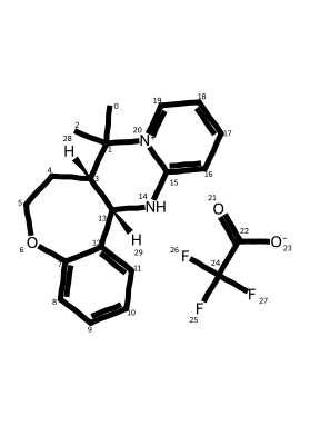 CC1(C)[C@H]2CCOc3ccccc3[C@H]2Nc2cccc[n+]21.O=C([O-])C(F)(F)F